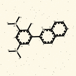 Cc1c(-c2ccc3ccccc3n2)cc(N(C)C)cc1N(C)C